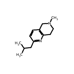 CC(C)Cc1ccc2c(n1)CCN(C)C2